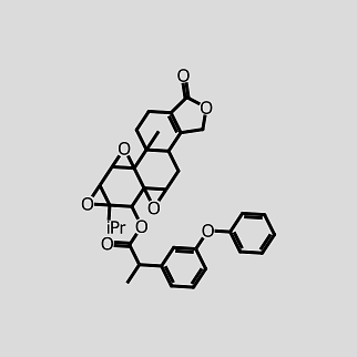 CC(C(=O)OC1C2(C(C)C)OC2C2OC23C2(C)CCC4=C(COC4=O)C2CC2OC213)c1cccc(Oc2ccccc2)c1